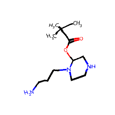 CC(C)(C)C(=O)OC1CNCCN1CCCN